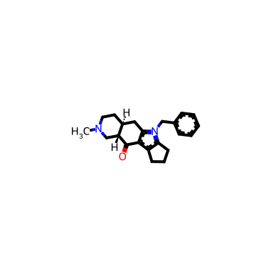 CN1CC[C@H]2Cc3c(c4c(n3Cc3ccccc3)CCC4)C(=O)[C@@H]2C1